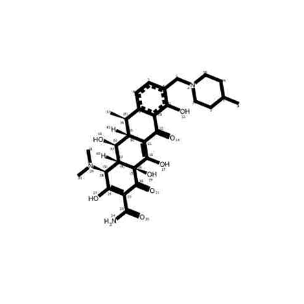 CC1CCN(Cc2ccc3c(c2O)C(=O)C2=C(O)[C@]4(O)C(=O)C(C(N)=O)=C(O)[C@@H](N(C)C)[C@@H]4[C@@H](O)[C@@H]2[C@H]3C)CC1